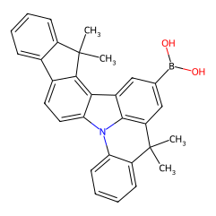 CC1(C)c2ccccc2-c2ccc3c(c21)c1cc(B(O)O)cc2c1n3-c1ccccc1C2(C)C